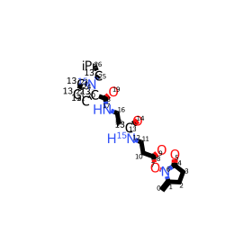 C=C1CCC(=O)N1OC(=O)CC[15NH][13C](=O)CCNC(=O)[13CH]1[13CH2][13CH2][13CH2][15N]1[13CH2][13CH](C)C